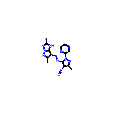 [C-]#[N+]c1c(C)nn(-c2cnccn2)c1/N=N/c1c(C)nn2nc(C)[nH]c12